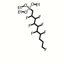 CCO[Si](CC(F)C(F)C(F)C(F)C(F)C(F)CCCF)(OCC)OCC